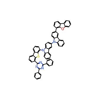 c1ccc(-c2nc(-c3ccccc3)nc(-c3cccc4c3sc3c(-n5c6ccccc6c6cc(-n7c8ccccc8c8cc(-c9cccc%10c9oc9ccccc9%10)ccc87)ccc65)cccc34)n2)cc1